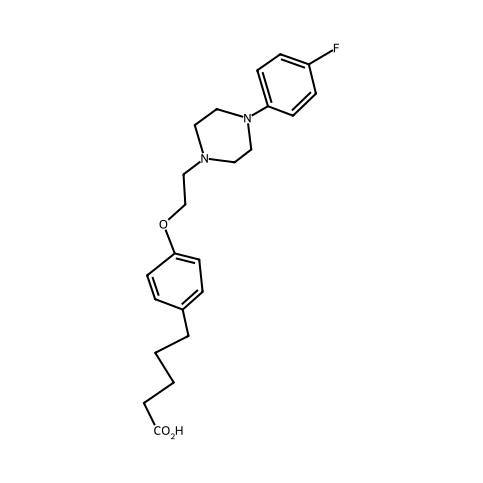 O=C(O)CCCCc1ccc(OCCN2CCN(c3ccc(F)cc3)CC2)cc1